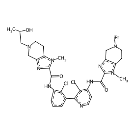 CC(O)CN1CCc2c(nc(C(=O)Nc3cccc(-c4nccc(NC(=O)c5nc6c(n5C)CCN(C(C)C)C6)c4Cl)c3Cl)n2C)C1